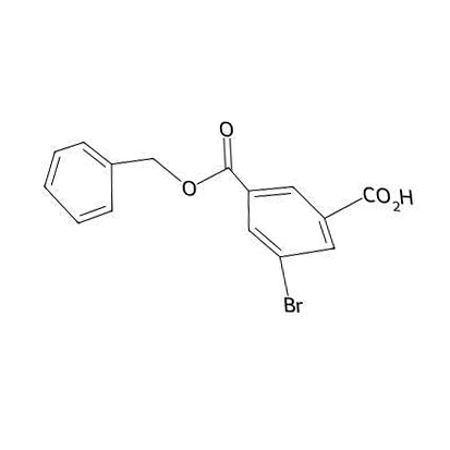 O=C(O)c1cc(Br)cc(C(=O)OCc2ccccc2)c1